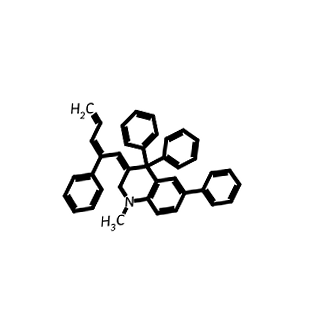 C=C/C=C(\C=C1/CN(C)c2ccc(-c3ccccc3)cc2C1(c1ccccc1)c1ccccc1)c1ccccc1